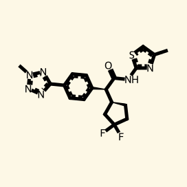 Cc1csc(NC(=O)[C@H](c2ccc(-c3nnn(C)n3)cc2)[C@H]2CCC(F)(F)C2)n1